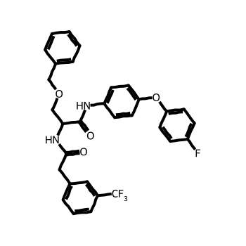 O=C(Cc1cccc(C(F)(F)F)c1)NC(COCc1ccccc1)C(=O)Nc1ccc(Oc2ccc(F)cc2)cc1